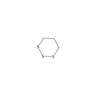 [CH]1CCSSS1